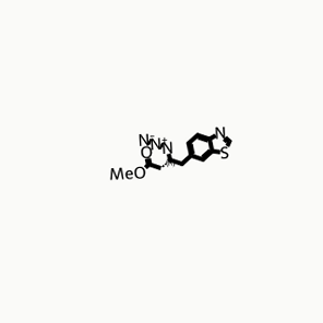 COC(=O)C[C@@H](Cc1ccc2ncsc2c1)N=[N+]=[N-]